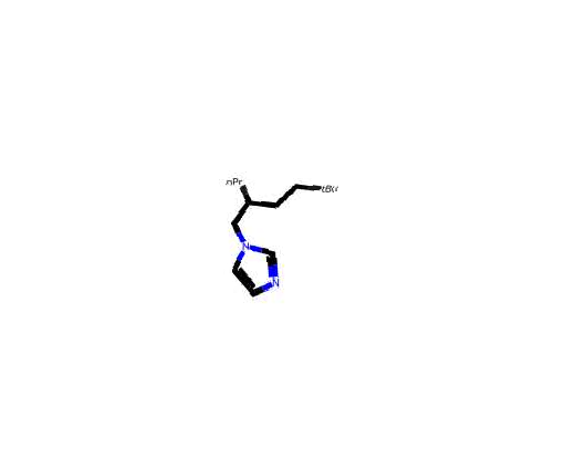 CCCC(CCC(C)(C)C)Cn1ccnc1